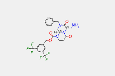 NC[C@H]1C(=O)N(Cc2ccccc2)C[C@@H]2N(C(=O)OCc3cc(C(F)(F)F)cc(C(F)(F)F)c3)CCC(=O)N21